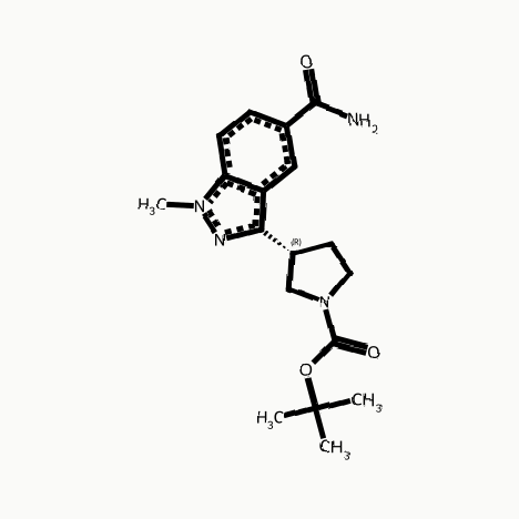 Cn1nc([C@@H]2CCN(C(=O)OC(C)(C)C)C2)c2cc(C(N)=O)ccc21